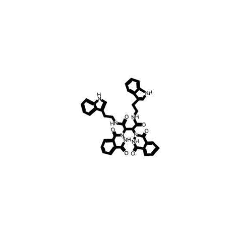 O=C(NCCc1c[nH]c2ccccc12)C(C(C(=O)NCCc1c[nH]c2ccccc12)n1[nH]c(=O)c2ccccc2c1=O)n1[nH]c(=O)c2ccccc2c1=O